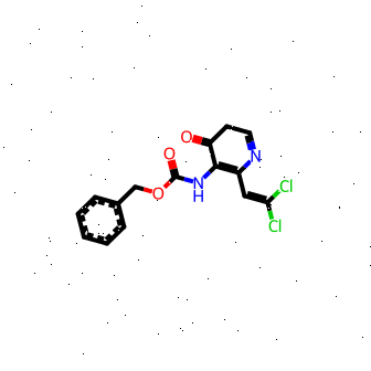 O=C(NC1=C(C=C(Cl)Cl)N=CCC1=O)OCc1ccccc1